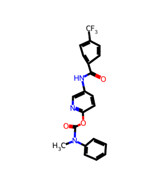 CN(C(=O)Oc1ccc(NC(=O)c2ccc(C(F)(F)F)cc2)cn1)c1ccccc1